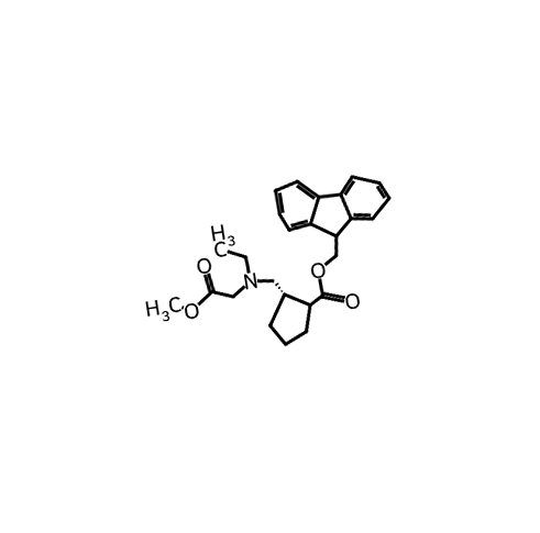 CCN(CC(=O)OC)C[C@H]1CCCC1C(=O)OCC1c2ccccc2-c2ccccc21